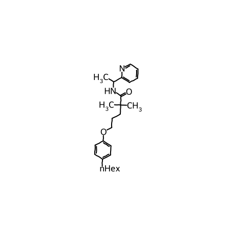 CCCCCCc1ccc(OCCCC(C)(C)C(=O)NC(C)c2ccccn2)cc1